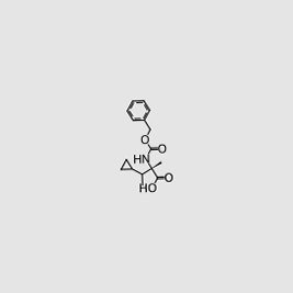 CC(C1CC1)[C@](C)(NC(=O)OCc1ccccc1)C(=O)O